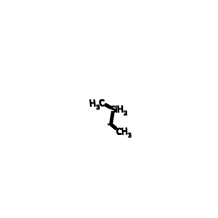 C[CH][SiH2]C